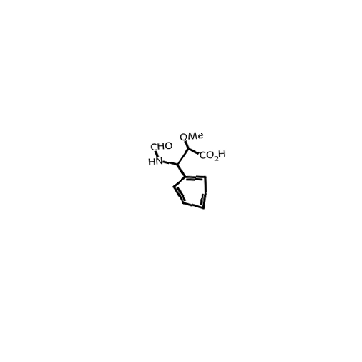 COC(C(=O)O)C(NC=O)c1ccccc1